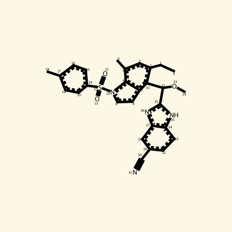 CCc1cc(C)c2c(ccn2S(=O)(=O)c2ccc(C)cc2)c1C(OC)c1nc2cc(C#N)ccc2[nH]1